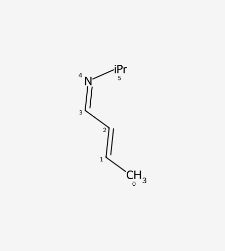 C/C=C/C=N\C(C)C